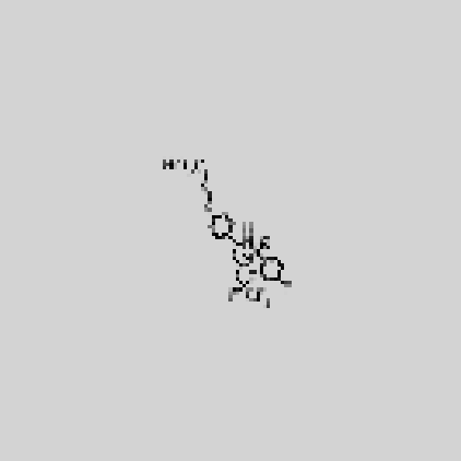 O=C(O)CCCCc1ccc(C(CCCC(F)(F)C(F)(F)F)NS(=O)(=O)c2ccc(F)cc2)cc1